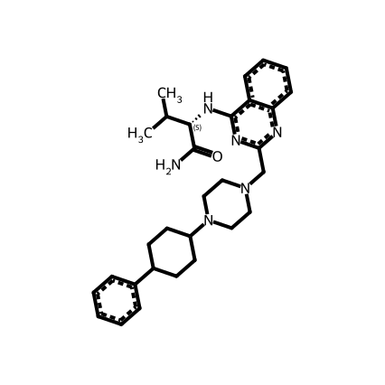 CC(C)[C@H](Nc1nc(CN2CCN(C3CCC(c4ccccc4)CC3)CC2)nc2ccccc12)C(N)=O